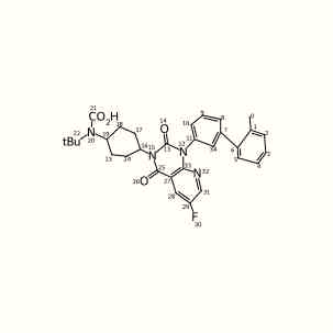 Cc1ccccc1-c1cccc(-n2c(=O)n(C3CCC(N(C(=O)O)C(C)(C)C)CC3)c(=O)c3cc(F)cnc32)c1